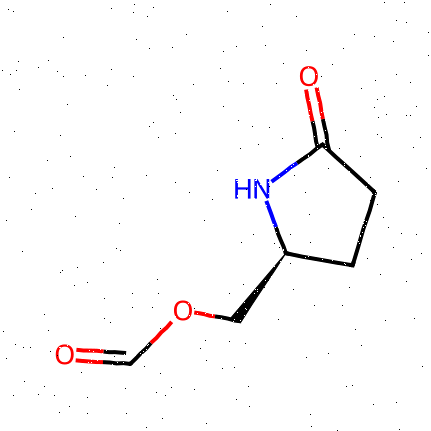 O=COC[C@@H]1CCC(=O)N1